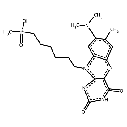 Cc1cc2nc3c(=O)[nH]c(=O)nc-3n(CCCCCCP(C)(=O)O)c2cc1N(C)C